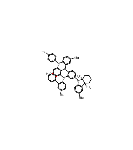 Cc1cc2c3c(c1)N(c1ccc(C(C)(C)C)cc1-c1ccccc1)c1cc(N4c5ccc(C(C)(C)C)cc5C5(C)CCCCC45C)ccc1B3c1cc(C(C)(C)C)ccc1N2c1ccc(C(C)(C)C)cc1